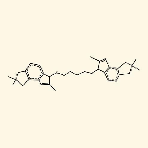 CC1=Cc2c(ccc3c2CC(C)(C)C3)C1CCCCCSC1C(C)=Cc2c1ccc1c2CC(C)(C)C1